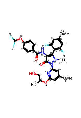 COc1cc(OC(CO)C(F)(F)F)nc(-n2c(=O)c(NC(=O)c3ccc(OC(F)F)cc3)c(-c3c(F)cc(OC)cc3F)n2C)c1